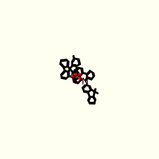 Cc1ccc2c(c1)C1(c3cc(C)ccc3-2)c2ccccc2-c2cccc(-c3ccc(N(c4ccc5c(c4)C(C)(C)c4ccccc4-5)c4ccccc4-c4ccccc4)cc3)c21